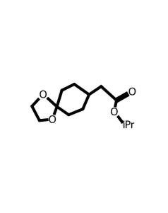 CC(C)OC(=O)CC1CCC2(CC1)OCCO2